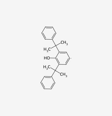 CC(C)(c1ccccc1)c1c[c]cc(C(C)(C)c2ccccc2)c1O